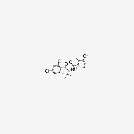 COc1cccc(C(=O)NN(C(=O)c2ccc(Cl)cc2Cl)C(C)(C)C)c1C